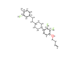 C=CCCOc1ccc(C2CCC(CCc3ccc(C)c(F)c3)CC2)c(F)c1F